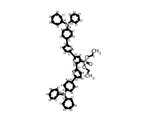 CCOP(=O)(OCC)c1cc(-c2ccc(-c3ccc(N(c4ccccc4)c4ccccc4)cc3)s2)sc1-c1ccc(-c2ccc(N(c3ccccc3)c3ccccc3)cc2)s1